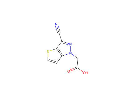 N#Cc1nn(CC(=O)O)c2ccsc12